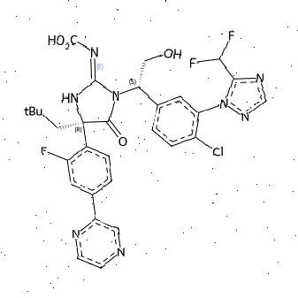 CC(C)(C)C[C@]1(c2ccc(-c3cnccn3)cc2F)N/C(=N\C(=O)O)N([C@H](CO)c2ccc(Cl)c(-n3ncnc3C(F)F)c2)C1=O